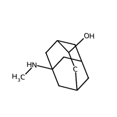 CNC12CC3CC(CC(C1)C(O)C3)C2